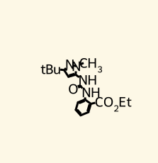 CCOC(=O)c1ccccc1NC(=O)Nc1cc(C(C)(C)C)nn1C